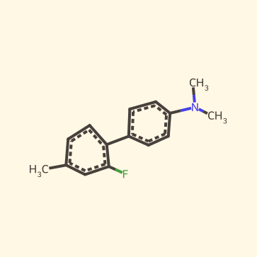 Cc1ccc(-c2ccc(N(C)C)cc2)c(F)c1